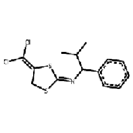 CC(C)C(N=C1SCC(=C(Cl)Cl)S1)c1ccccc1